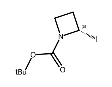 CC(C)(C)OC(=O)N1CC[C@@H]1I